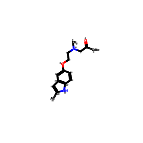 COC(=O)CN(C)CCOc1ccc2[nH]c(C(C)=O)cc2c1